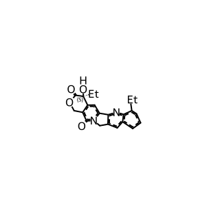 CCc1cccc2cc3c(nc12)-c1cc2c(c(=O)n1C3)COC(=O)[C@]2(O)CC